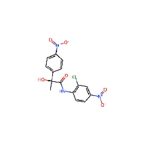 CC(O)(C(=O)Nc1ccc([N+](=O)[O-])cc1Cl)c1ccc([N+](=O)[O-])cc1